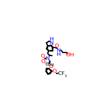 CC(Cc1cc2c(c(C(=O)NCCCO)c1)NCC2)N(CCOc1ccccc1OCC(F)(F)F)C(=O)OC(C)(C)C